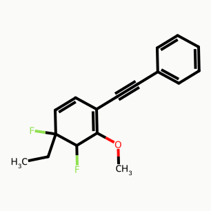 CCC1(F)C=CC(C#Cc2ccccc2)=C(OC)C1F